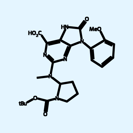 COc1ccccc1-n1c(=O)[nH]c2c(C(=O)O)nc(N(C)C3CCCN3C(=O)OC(C)(C)C)nc21